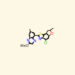 [CH2]C1Cc2c(cc(Cl)c3nc(-c4cc(C)cc5nc(OC)cnc45)sc23)O1